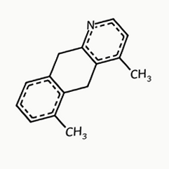 Cc1cccc2c1Cc1c(C)ccnc1C2